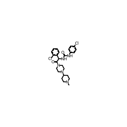 CN1CCC(N2CCN(C(=O)C(NC(=O)Nc3ccc(Cl)cc3)c3ccccc3Cl)CC2)CC1